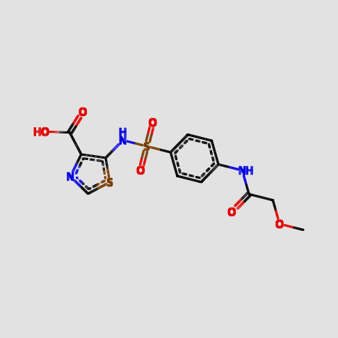 COCC(=O)Nc1ccc(S(=O)(=O)Nc2scnc2C(=O)O)cc1